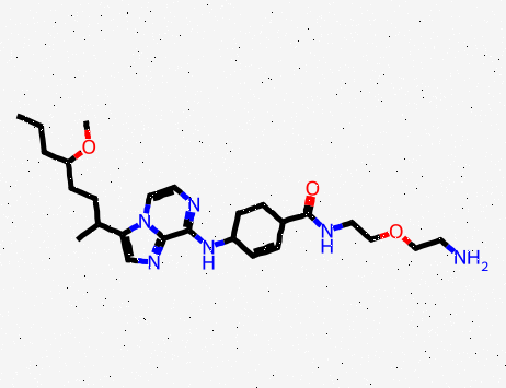 CCCC(CCC(C)c1cnc2c(NC3C=CC(C(=O)NCCOCCN)CC3)nccn12)OC